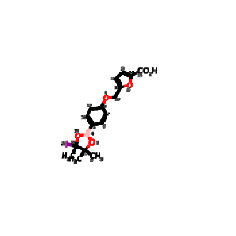 CC1(C)OB(c2ccc(OCc3ccc(C(=O)O)o3)cc2)OC1(C)I